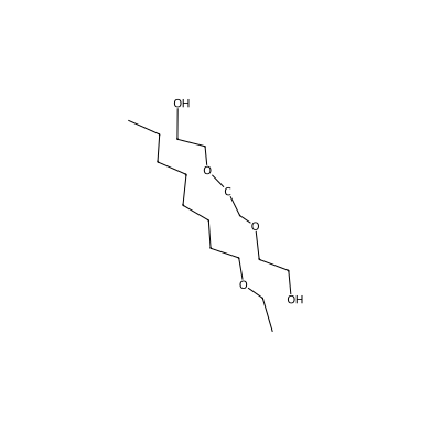 CCCCCCCCOCC.OCCOCCOCCO